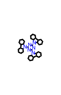 c1ccc2c(c1)c1ccccc1n2-c1nc(-n2c3ccccc3c3ccccc32)nc(-n2c3ccccc3c3ccccc32)n1